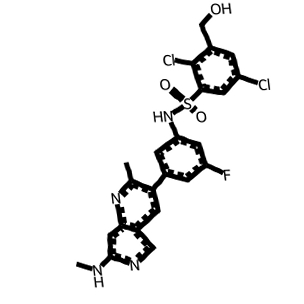 CNc1cc2nc(C)c(-c3cc(F)cc(NS(=O)(=O)c4cc(Cl)cc(CO)c4Cl)c3)cc2cn1